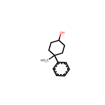 O=C(O)C1(c2ccccc2)CCC(O)CC1